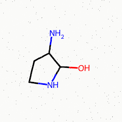 NC1CCNC1O